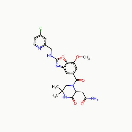 COc1cc(C(=O)N2CC(C)(C)NC(=O)C2CC(N)=O)cc2nc(NCc3cc(Cl)ccn3)oc12